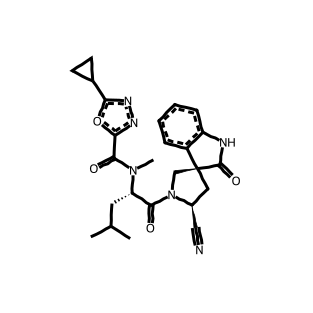 CC(C)C[C@@H](C(=O)N1C[C@]2(C[C@H]1C#N)C(=O)Nc1ccccc12)N(C)C(=O)c1nnc(C2CC2)o1